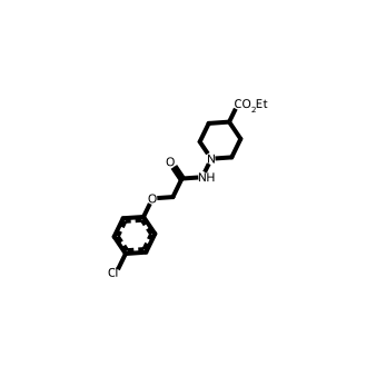 CCOC(=O)C1CCN(NC(=O)COc2ccc(Cl)cc2)CC1